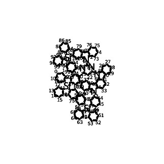 c1ccc([Si](c2ccccc2)(c2ccccc2)c2ccc(-c3cc(-n4c5ccccc5c5ccc6c(c7ccccc7n6-c6cccc([Si](c7ccccc7)(c7ccccc7)c7ccccc7)c6)c54)nc(-n4c5ccccc5c5ccc([Si](c6ccccc6)(c6ccccc6)c6ccccc6)cc54)n3)cc2)cc1